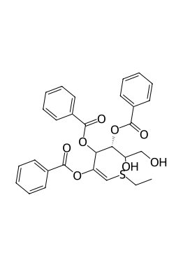 CCS/C=C(/OC(=O)c1ccccc1)C(OC(=O)c1ccccc1)[C@H](OC(=O)c1ccccc1)C(O)CO